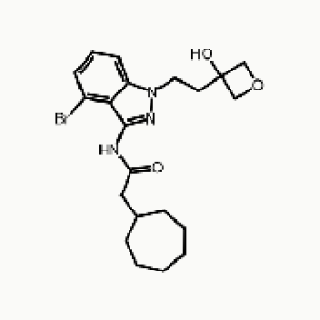 O=C(CC1CCCCCC1)Nc1nn(CCC2(O)COC2)c2cccc(Br)c12